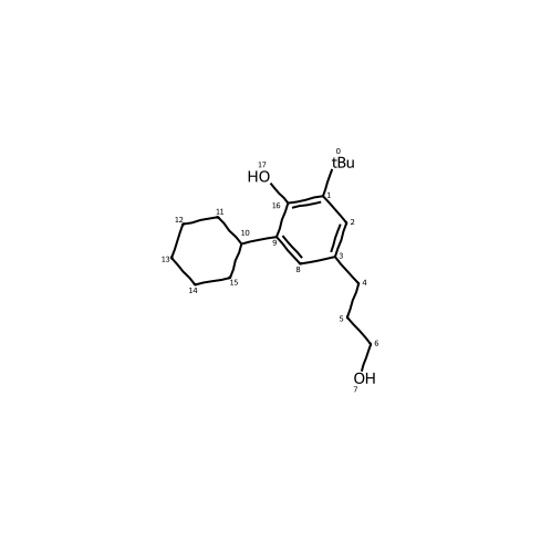 CC(C)(C)c1cc(CCCO)cc(C2CCCCC2)c1O